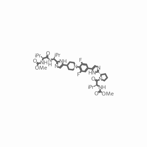 COC(=O)N[C@H](C(=O)N[C@H](c1ncc(C2CCN(c3c(F)cc(-c4cnc([C@@H]5CCCN5C(=O)[C@@H](NC(=O)OC)C(C)C)[nH]4)cc3F)CC2)[nH]1)C(C)C)C(C)C